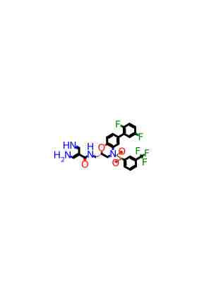 N=C/C(=C\N)C(=O)NC[C@H]1CN(S(=O)(=O)c2cccc(C(F)(F)F)c2)c2cc(-c3cc(F)ccc3F)ccc2O1